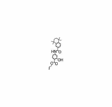 C=CCOC(=O)c1ccc(NC(=O)c2ccc3c(c2)C(C)(C)CCC3(C)C)cc1O